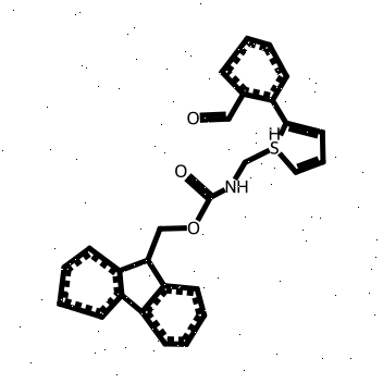 O=Cc1ccccc1C1=CC=C[SH]1CNC(=O)OCC1c2ccccc2-c2ccccc21